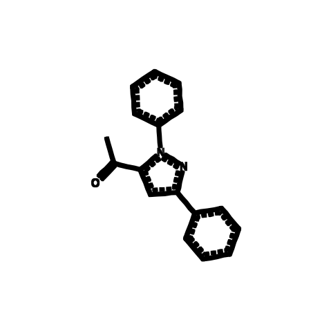 CC(=O)c1cc(-c2ccccc2)nn1-c1ccccc1